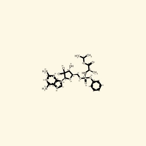 CC(C)OC(=O)[C@@H](C)N[P@@](=O)(OC[C@H]1O[C@@H](n2cnc3c(N)nc(N)nc32)C(Cl)(Cl)[C@@H]1O)Oc1ccccc1